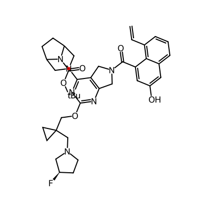 C=Cc1cccc2cc(O)cc(C(=O)N3Cc4nc(OCC5(CN6CC[C@@H](F)C6)CC5)nc(N5CC6CCC(C5)N6C(=O)OC(C)(C)C)c4C3)c12